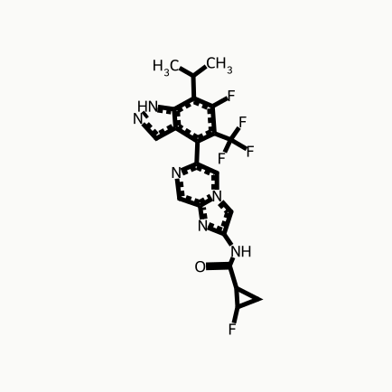 CC(C)c1c(F)c(C(F)(F)F)c(-c2cn3cc(NC(=O)C4CC4F)nc3cn2)c2cn[nH]c12